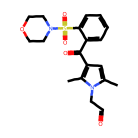 Cc1cc(C(=O)c2ccccc2S(=O)(=O)N2CCOCC2)c(C)n1CC=O